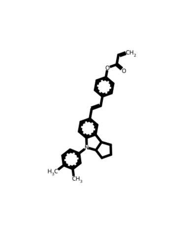 C=CC(=O)Oc1ccc(C=Cc2ccc3c(c2)C2CCCC2N3c2ccc(C)c(C)c2)cc1